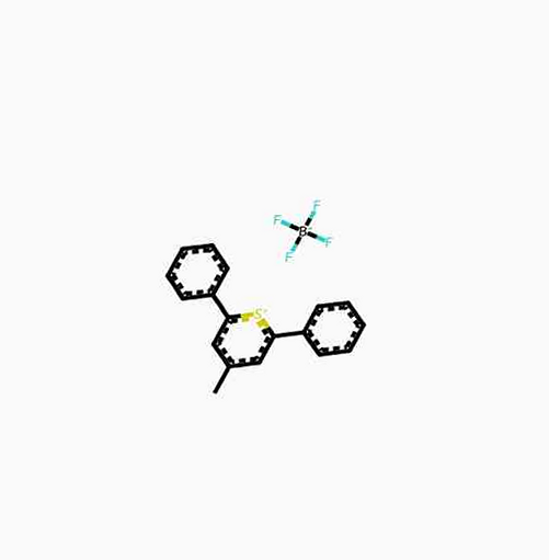 Cc1cc(-c2ccccc2)[s+]c(-c2ccccc2)c1.F[B-](F)(F)F